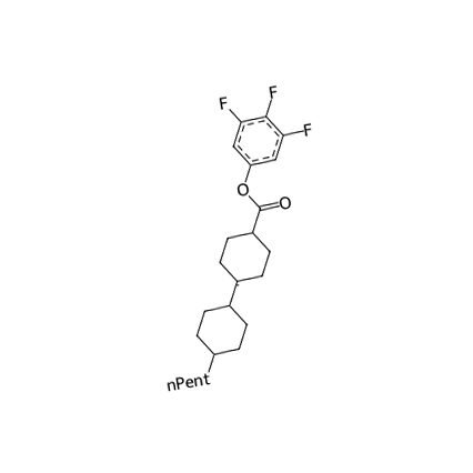 CCCCCC1CCC([C]2CCC(C(=O)Oc3cc(F)c(F)c(F)c3)CC2)CC1